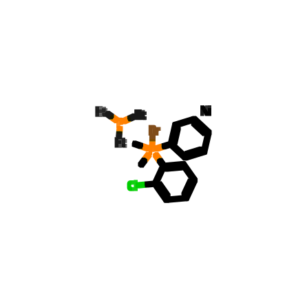 CCP(CC)CC.CP(C)(Br)(c1ccccc1)c1ccccc1Cl.[Ni]